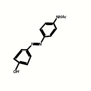 CC(=O)Nc1ccc(N=Nc2ccc(O)cc2)cc1